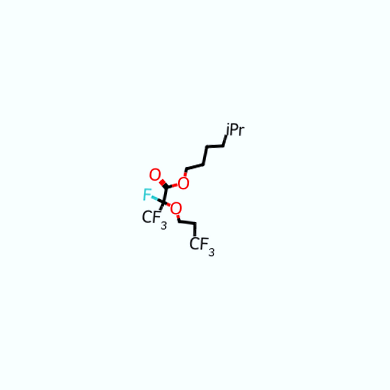 CC(C)CCCCOC(=O)C(F)(OCCC(F)(F)F)C(F)(F)F